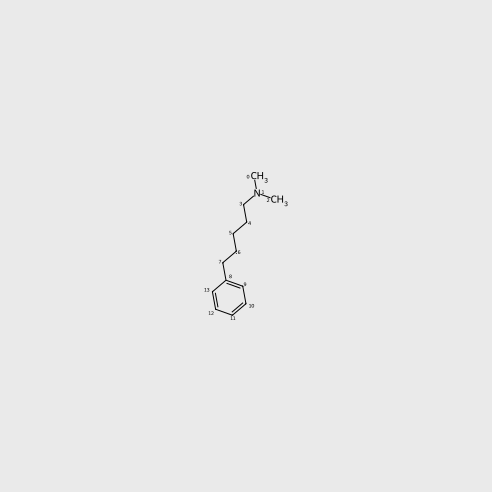 CN(C)CCC[CH]Cc1ccccc1